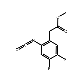 COC(=O)Cc1cc(F)c(F)cc1N=C=O